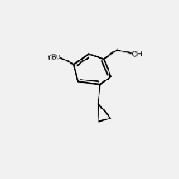 CCCCc1cc([CH]O)cc(C2CC2)c1